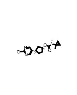 CC1(NC(=O)O[C@@H]2CC[C@H](c3cnc(Cl)nc3)C2)CC1